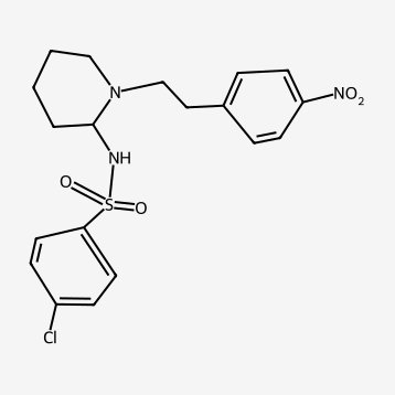 O=[N+]([O-])c1ccc(CCN2CCCCC2NS(=O)(=O)c2ccc(Cl)cc2)cc1